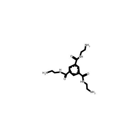 NCCNC(=O)c1cc(C(=O)NCCN)cc(C(=O)NCCN)c1